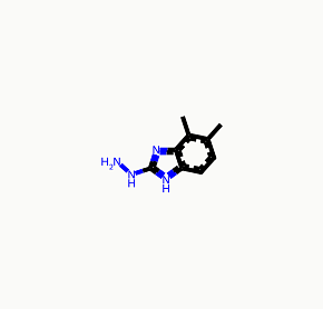 Cc1ccc2[nH]c(NN)nc2c1C